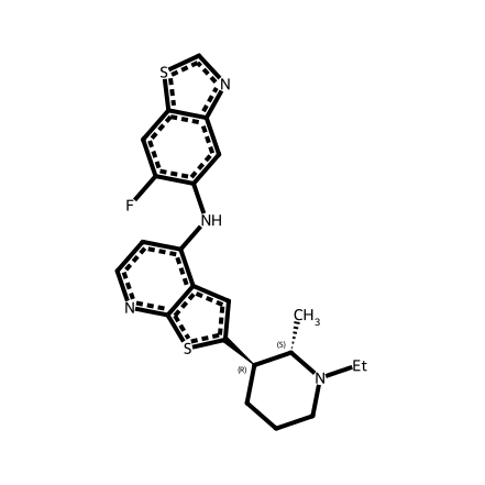 CCN1CCC[C@@H](c2cc3c(Nc4cc5ncsc5cc4F)ccnc3s2)[C@@H]1C